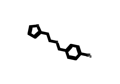 FC(F)(F)c1ccc(CSCCc2ccco2)cc1